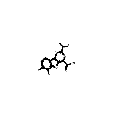 Cc1c(F)ccc2c1oc1c(C(=O)O)nc(C(F)F)nc12